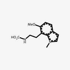 COc1ccc2ccn(C)c2c1CCNC(=O)O